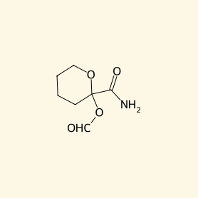 NC(=O)C1(OC=O)CCCCO1